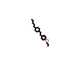 CCCCCC1CCC(CCc2ccc(OCCC)cc2)CC1